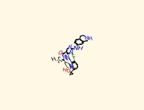 CC(C)n1c(=O)c2cnc(Nc3ccc4c(c3)CNCC4)nc2n1-c1nc(C2(O)CC2)ccc1F